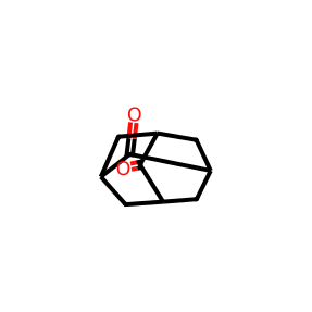 O=C1C2CC3CC1CC(C2)C3=O